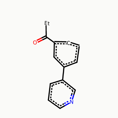 CCC(=O)c1cccc(-c2cccnc2)c1